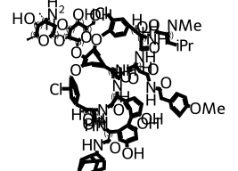 CN[C@H](CC(C)C)C(=O)N[C@H]1C(=O)N[C@@H](CC(=O)NC(=O)Cc2ccc(OC)cc2)C(=O)N[C@H]2C(=O)N[C@H]3C(=O)N[C@H](C(=O)N[C@H](C(=O)NC4C5CC6CC(C5)CC4C6)c4cc(O)cc(O)c4-c4cc3ccc4O)[C@H](O)c3ccc(c(Cl)c3)Oc3cc2cc(c3O[C@@H]2O[C@H](CO)[C@@H](O)[C@H](O)[C@H]2O[C@H]2C[C@](C)(N)[C@H](O)[C@H](C)O2)Oc2ccc(cc2Cl)[C@H]1O